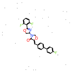 O=C1C(=Cc2ccc(-c3ccc(F)cc3)cc2)OCN1C1COC(c2c(F)cccc2F)=N1